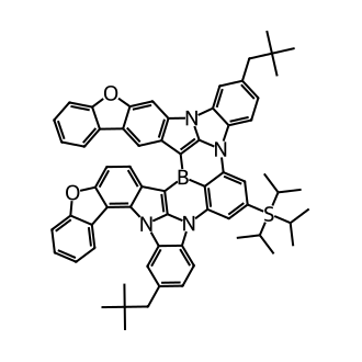 CC(C)S(c1cc2c3c(c1)-n1c4ccc(CC(C)(C)C)cc4n4c5c(ccc6oc7ccccc7c65)c(c14)B3c1c3cc4c(cc3n3c5cc(CC(C)(C)C)ccc5n-2c13)oc1ccccc14)(C(C)C)C(C)C